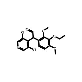 CCOc1c(OC)ccc(C(C=O)c2c(Cl)cncc2Cl)c1OC